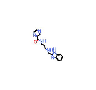 O=C(NCCCNCc1nc2ccccc2[nH]1)c1cnccn1